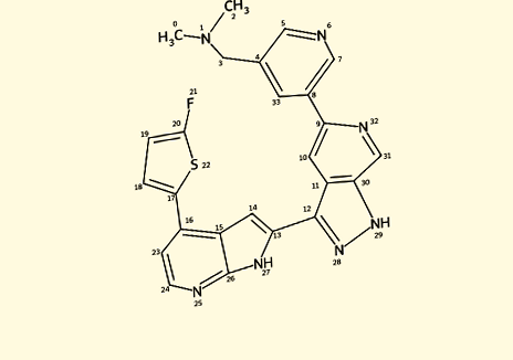 CN(C)Cc1cncc(-c2cc3c(-c4cc5c(-c6ccc(F)s6)ccnc5[nH]4)n[nH]c3cn2)c1